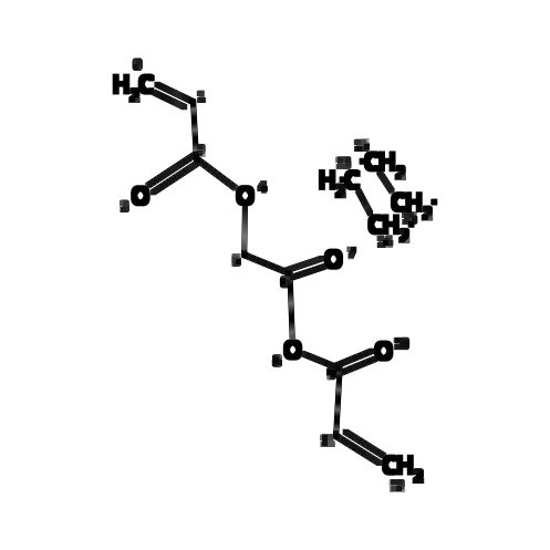 C=CC(=O)OCC(=O)OC(=O)C=C.[CH2][CH2].[CH2][CH2]